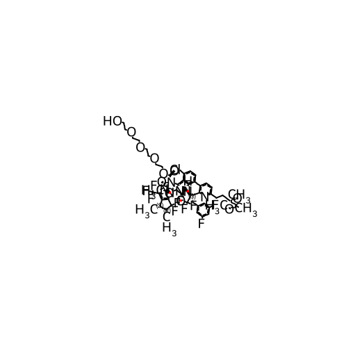 C[C@@H]1c2c(C(F)(F)F)nn(CC(=O)N[C@@H](Cc3cc(F)cc(F)c3)c3nc(CCC(C)(C)S(C)(=O)=O)ccc3-c3ccc(Cl)c4c(N(C(=O)OCCOCCOCCOCCO)S(C)(=O)=O)nn(CC(F)(F)F)c34)c2C(F)(F)[C@@H]1C